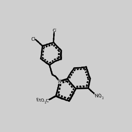 CCOC(=O)c1cc2c([N+](=O)[O-])cccc2n1Cc1ccc(Cl)c(Cl)c1